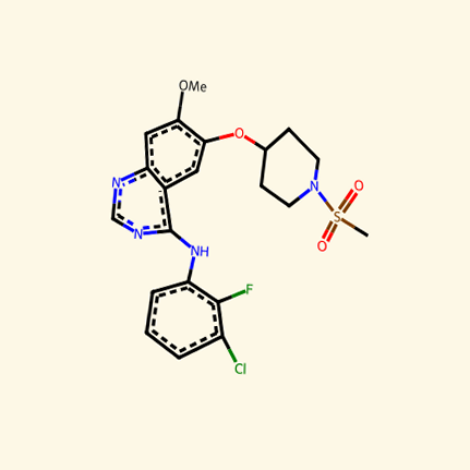 COc1cc2ncnc(Nc3cccc(Cl)c3F)c2cc1OC1CCN(S(C)(=O)=O)CC1